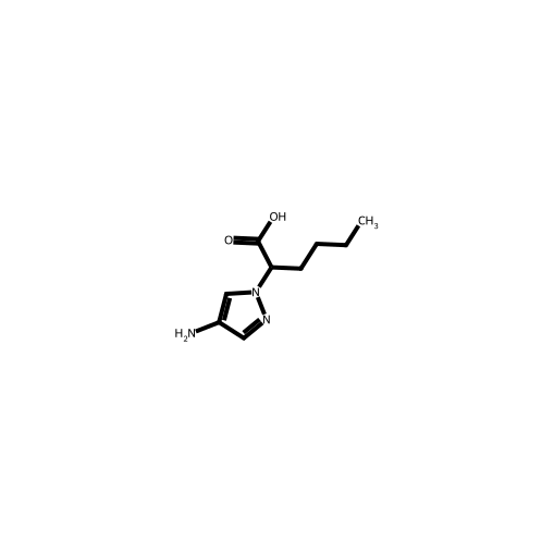 CCCCC(C(=O)O)n1cc(N)cn1